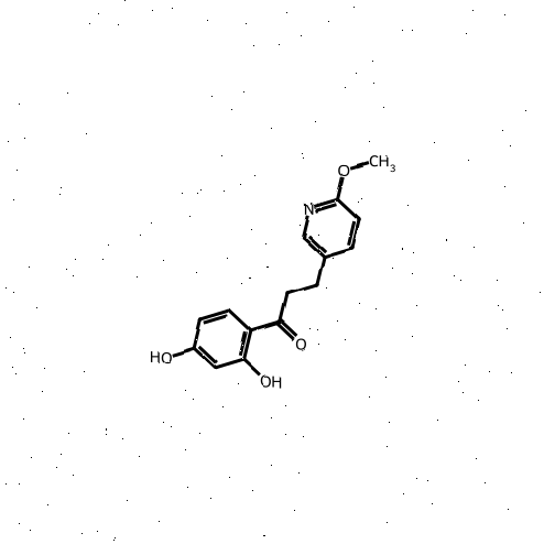 COc1ccc(CCC(=O)c2ccc(O)cc2O)cn1